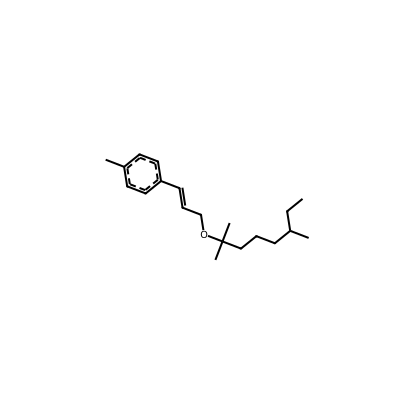 CCC(C)CCCC(C)(C)OC/C=C/c1ccc(C)cc1